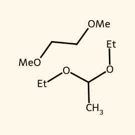 CCOC(C)OCC.COCCOC